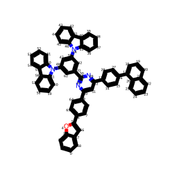 c1ccc2oc(-c3ccc(-c4cc(-c5ccc(-c6cccc7ccccc67)cc5)nc(-c5cc(-n6c7ccccc7c7ccccc76)cc(-n6c7ccccc7c7ccccc76)c5)n4)cc3)cc2c1